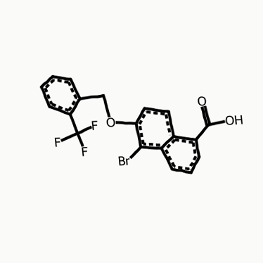 O=C(O)c1cccc2c(Br)c(OCc3ccccc3C(F)(F)F)ccc12